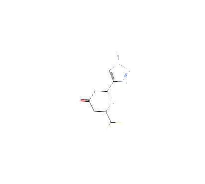 Cn1cc(C2CC(=O)CC(C(F)F)N2)nn1